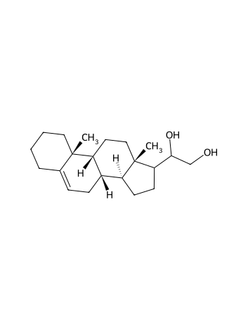 C[C@]12CCCCC1=CC[C@@H]1[C@H]2CC[C@]2(C)C(C(O)CO)CC[C@@H]12